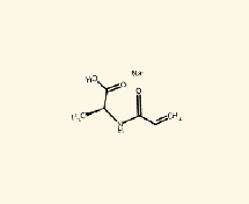 C=CC(=O)N[C@@H](C)C(=O)O.[Na]